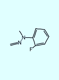 C=NN(C)c1ccccc1F